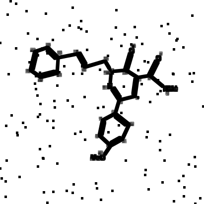 CNC(=O)c1cc(-c2ccc(OC)cc2)nn(CC=Cc2ccccc2)c1=O